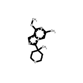 COc1nc(C)cn2c(C3(C)CCOCC3)ncc12